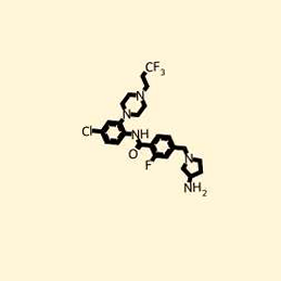 NC1CCN(Cc2ccc(C(=O)Nc3ccc(Cl)cc3N3CCN(CCC(F)(F)F)CC3)c(F)c2)C1